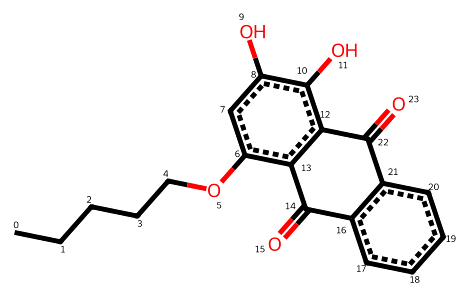 CCCCCOc1cc(O)c(O)c2c1C(=O)c1ccccc1C2=O